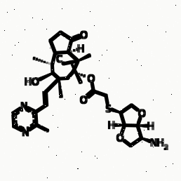 Cc1nccnc1/C=C/[C@@]1(C)C[C@@H](OC(=O)CS[C@H]2CO[C@H]3[C@@H]2OC[C@@H]3N)[C@]2(C)[C@H](C)CC[C@]3(CCC(=O)[C@H]32)[C@@H](C)[C@@H]1O